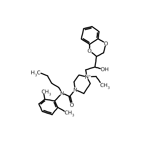 CCCCN(C(=O)N1CC[N+](CC)(CC(O)C2COc3ccccc3O2)CC1)c1c(C)cccc1C